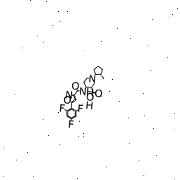 C[C@@H]1CCC[C@@H]1N1CC[C@@H](NC(=O)c2cc(-c3c(F)cc(F)cc3F)on2)[C@H](C(=O)O)C1